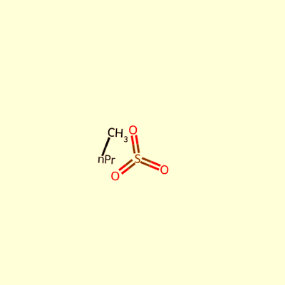 CCCC.O=S(=O)=O